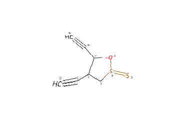 C#CC1CS(=S)OC1C#C